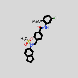 COc1ccc(Cl)cc1NC(=O)c1ccc(CN(c2ccc3c(c2)CCC3)S(C)(=O)=O)cc1